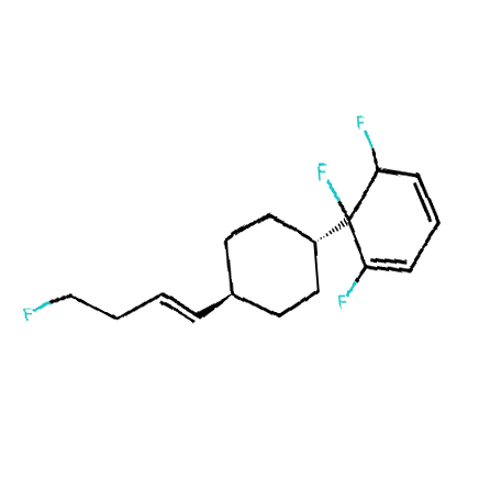 FCCC=C[C@H]1CC[C@H](C2(F)C(F)=CC=CC2F)CC1